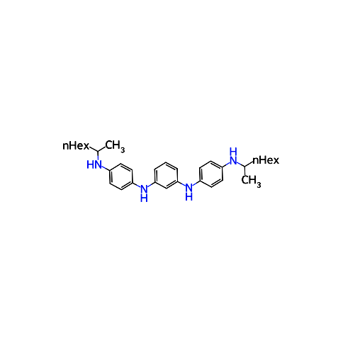 CCCCCCC(C)Nc1ccc(Nc2cccc(Nc3ccc(NC(C)CCCCCC)cc3)c2)cc1